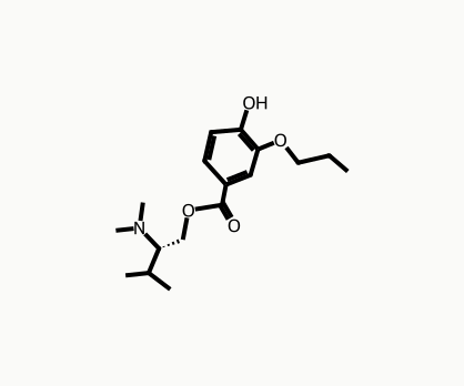 CCCOc1cc(C(=O)OC[C@H](C(C)C)N(C)C)ccc1O